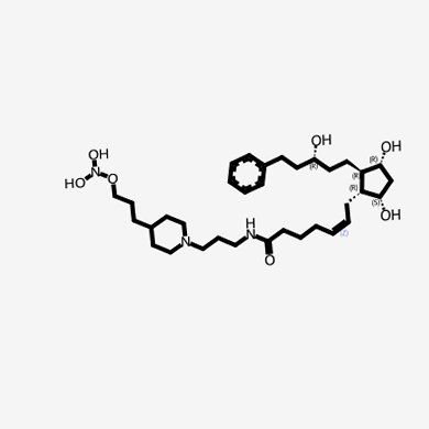 O=C(CCC/C=C\C[C@@H]1[C@@H](CC[C@@H](O)CCc2ccccc2)[C@H](O)C[C@@H]1O)NCCCN1CCC(CCCON(O)O)CC1